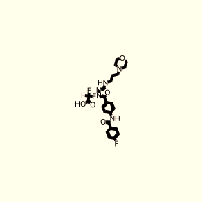 O=C(Nc1ccc(-c2nnc(NCCCN3CCOCC3)o2)cc1)c1ccc(F)cc1.O=C(O)C(F)(F)F